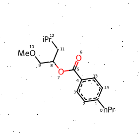 CCCc1ccc(C(=O)OC(COC)CC(C)C)cc1